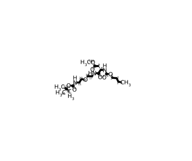 CCCCOC(=O)N[C@@H](CC(=O)OC)C(=O)NCCOCCNC(=O)OC(C)(C)C